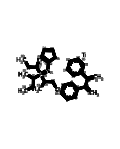 C=C(C(=C)c1ccccc1)c1ccccc1.CCC(C)P(=NC1=CC=CC1)(C(C)CC)C(C)CC.[Ti]